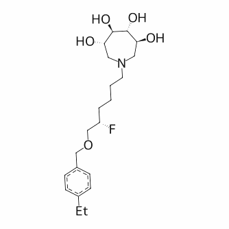 CCc1ccc(COC[C@@H](F)CCCCN2C[C@H](O)[C@@H](O)[C@H](O)[C@@H](O)C2)cc1